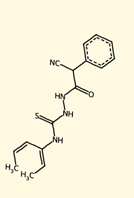 C/C=C\C(=C/C)NC(=S)NNC(=O)C(C#N)c1ccccc1